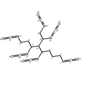 O=C=NCCCC(N=C=O)C(C(CCN=C=O)N=C=O)C(CN=C=O)N=C=O